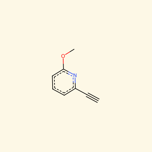 C#Cc1cccc(OC)n1